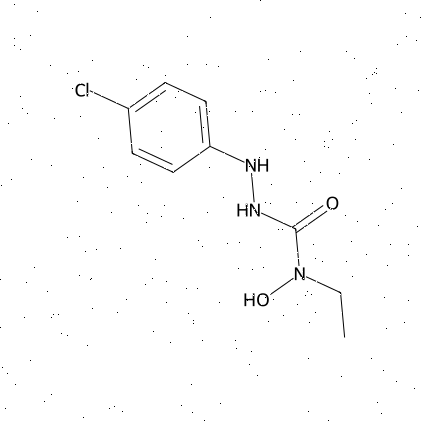 CCN(O)C(=O)NNc1ccc(Cl)cc1